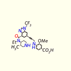 CCN(C(=O)c1cc(C#CCNc2ccc(C(=O)O)cc2OC)cc2c1ncn2CC(F)(F)F)[C@H]1CCNC[C@@H]1C